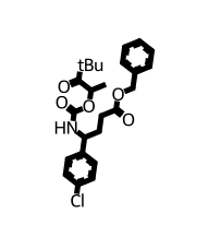 CC(OC(=O)NC(CCC(=O)OCc1ccccc1)c1ccc(Cl)cc1)C(=O)C(C)(C)C